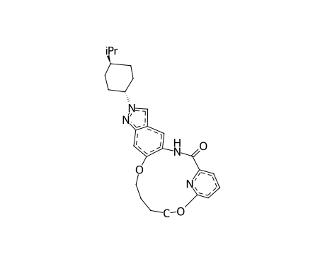 CC(C)[C@H]1CC[C@H](n2cc3cc4c(cc3n2)OCCCCOc2cccc(n2)C(=O)N4)CC1